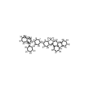 CC1(C)c2cc(-c3ccc(-c4nc5ncccc5n4-c4ccccc4)cc3)ccc2-c2c1cc1c3c(cccc23)-c2ccccc2-1